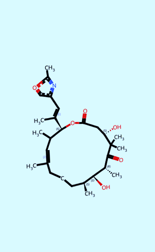 C/C1=C/C(C)[C@@H](/C(C)=C/c2coc(C)n2)OC(=O)C[C@H](O)C(C)(C)C(=O)[C@H](C)[C@@H](O)[C@@H](C)CCC1